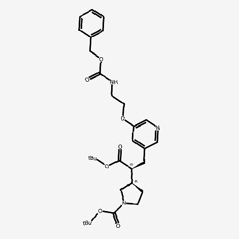 CC(C)(C)OC(=O)[C@@H](Cc1cncc(OCCNC(=O)OCc2ccccc2)c1)[C@H]1CCN(C(=O)OC(C)(C)C)C1